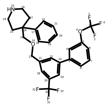 FC(F)(F)Oc1cccc(-c2cc(COCC3(c4ccccc4)CCNCC3)cc(C(F)(F)F)c2)c1